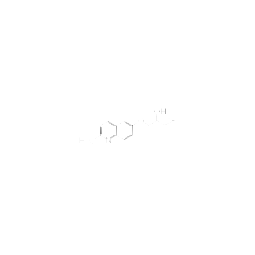 Cc1ccc2cc(OCC(O)C[18F])ccc2n1